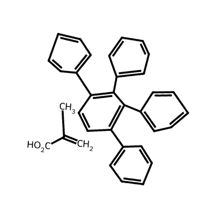 C=C(C)C(=O)O.c1ccc(-c2ccc(-c3ccccc3)c(-c3ccccc3)c2-c2ccccc2)cc1